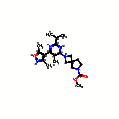 COC(=O)N1CCC2(C1)CN(c1nc(C(C)C)nc(-c3c(C)noc3C)c1C)C2